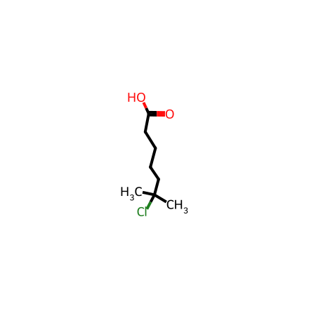 CC(C)(Cl)CCCCC(=O)O